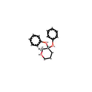 c1ccc(O[Si]2(Oc3ccccc3)CCCO[SiH2]2)cc1